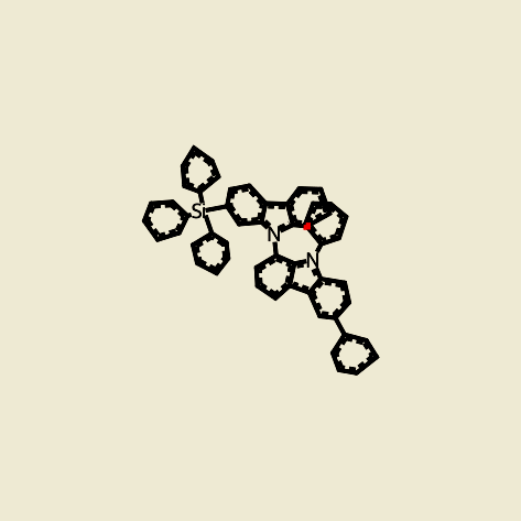 c1ccc(-c2ccc3c(c2)c2cccc(-n4c5ccccc5c5ccc([Si](c6ccccc6)(c6ccccc6)c6ccccc6)cc54)c2n3-c2ccccc2)cc1